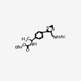 CC(=O)NCc1ncsc1-c1ccc(C(C)NC(=O)OC(C)(C)C)cc1